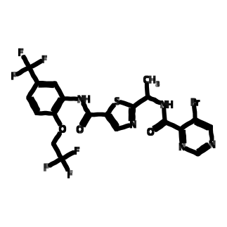 CC(NC(=O)c1ncncc1Br)c1ncc(C(=O)Nc2cc(C(F)(F)F)ccc2OCC(F)(F)F)s1